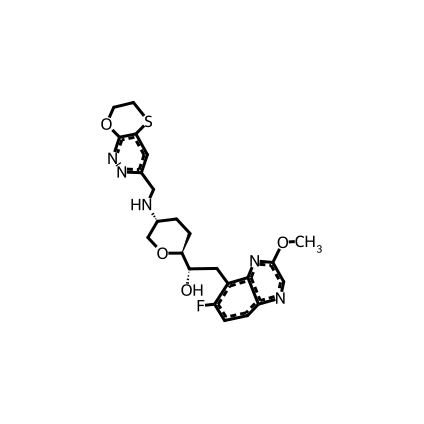 COc1cnc2ccc(F)c(C[C@H](O)[C@@H]3CC[C@@H](NCc4cc5c(nn4)OCCS5)CO3)c2n1